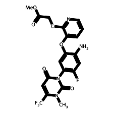 COC(=O)COc1ncccc1Oc1cc(-n2c(=O)cc(C(F)(F)F)n(C)c2=O)c(F)cc1N